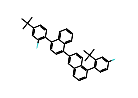 CC(C)(C)c1ccc(-c2ccc(-c3ccc4c(-c5ccc(F)cc5C(C)(C)C)cccc4c3)c3ccccc23)c(F)c1